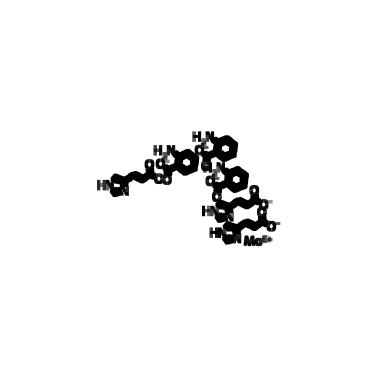 Nc1ccccc1C(=O)[O-].Nc1ccccc1C(=O)[O-].Nc1ccccc1C(=O)[O-].O=C([O-])C=Cc1c[nH]cn1.O=C([O-])C=Cc1c[nH]cn1.O=C([O-])C=Cc1c[nH]cn1.[Mo+6]